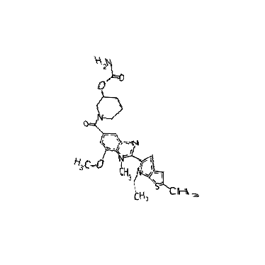 CCn1c(-c2nc3cc(C(=O)N4CCCC(OC(N)=O)C4)cc(OC)c3n2C)cc2cc(C)sc21